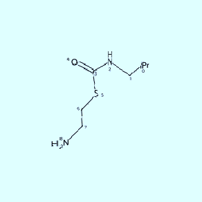 CC(C)CNC(=O)SCCN